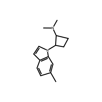 Cc1ccc2ccn(C3CCC3N(C)C)c2c1